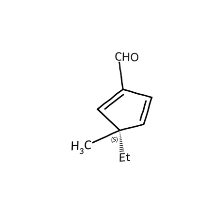 CC[C@@]1(C)C=CC(C=O)=C1